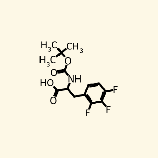 CC(C)(C)OC(=O)NC(Cc1ccc(F)c(F)c1F)C(=O)O